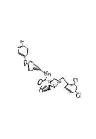 O=C(Nc1ccc(Oc2ccc(F)cc2)cc1)[C@@H]1C[C@@H](Cc2ccc(Cl)cc2Cl)CN1